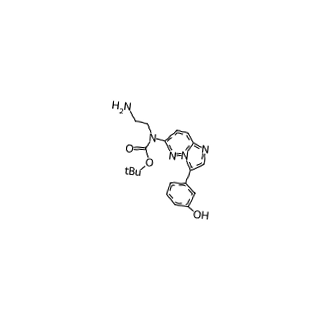 CC(C)(C)OC(=O)N(CCN)c1ccc2ncc(-c3cccc(O)c3)n2n1